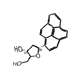 OCC1O[C@@H](c2ccc3ccc4cccc5ccc2c3c45)C[C@H]1O